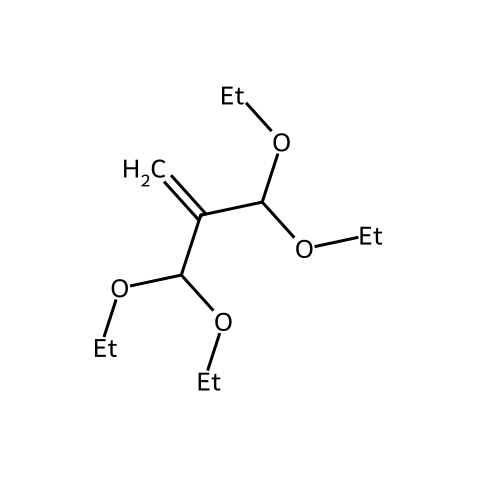 C=C(C(OCC)OCC)C(OCC)OCC